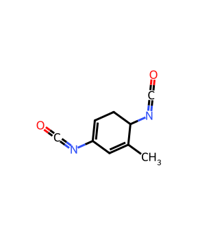 CC1=CC(N=C=O)=CCC1N=C=O